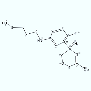 CSCCCNc1ccc(F)c(C2(C)COCC(N)=N2)c1